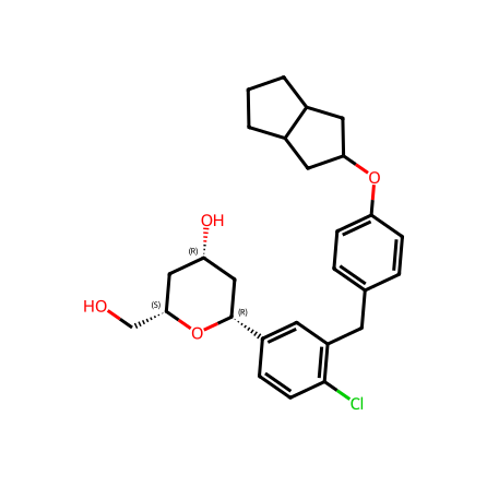 OC[C@@H]1C[C@H](O)C[C@H](c2ccc(Cl)c(Cc3ccc(OC4CC5CCCC5C4)cc3)c2)O1